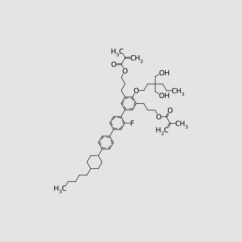 C=C(C)C(=O)OCCCc1cc(-c2ccc(-c3ccc(C4CCC(CCCCC)CC4)cc3)cc2F)cc(CCCOC(=O)C(=C)C)c1OCCC(CO)(CO)CCC